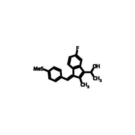 CSc1ccc(/C=C2/C(C)=C(C(C)O)c3cc(F)ccc32)cc1